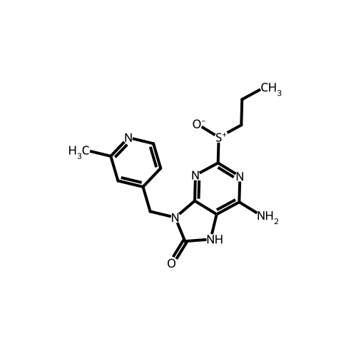 CCC[S+]([O-])c1nc(N)c2[nH]c(=O)n(Cc3ccnc(C)c3)c2n1